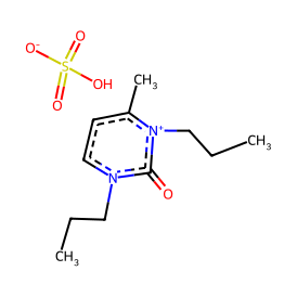 CCCn1ccc(C)[n+](CCC)c1=O.O=S(=O)([O-])O